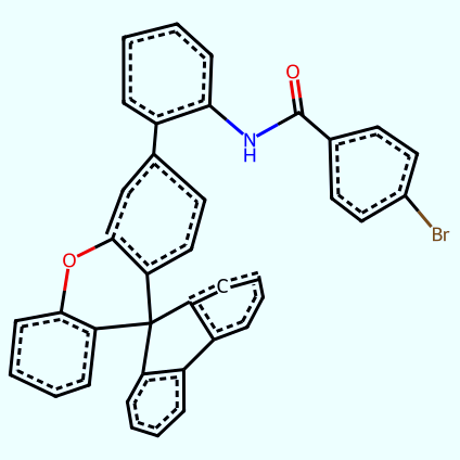 O=C(Nc1ccccc1-c1ccc2c(c1)Oc1ccccc1C21c2ccccc2-c2ccccc21)c1ccc(Br)cc1